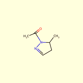 CC(=O)N1N=CCC1C